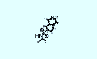 CC(C)NS(=O)(=O)c1ccc2ccncc2c1